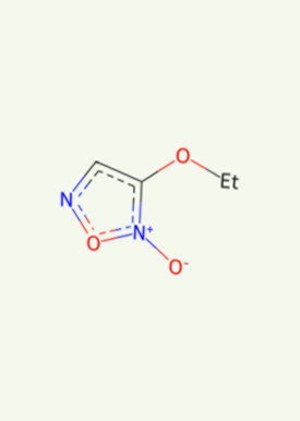 CCOc1cno[n+]1[O-]